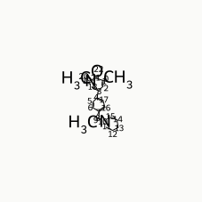 Cc1cc(-c2ccc([C@@H](C)N3CCCCC3)cc2)cn(C)c1=O